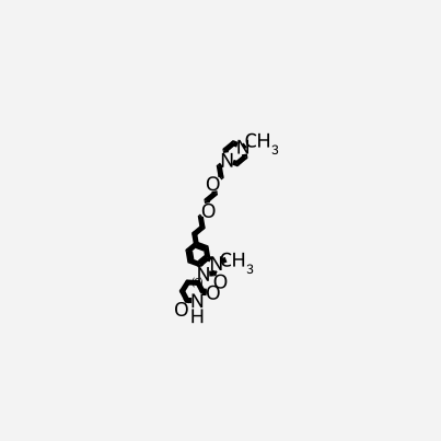 CN1CCN(CCOCCOCCCc2ccc3c(c2)n(C)c(=O)n3[C@H]2CCC(=O)NC2=O)CC1